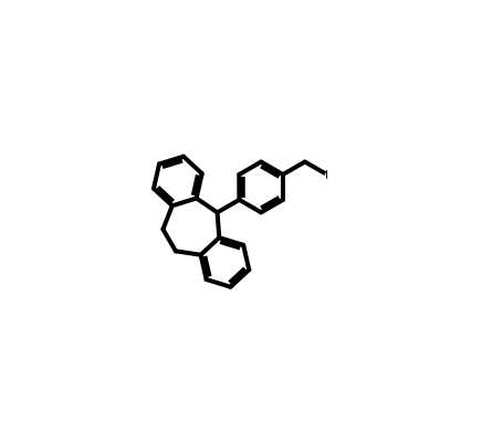 ICc1ccc(C2c3ccccc3CCc3ccccc32)cc1